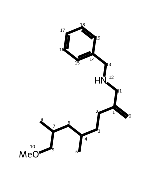 C=C(CCC(C)CC(C)COC)CNCc1ccccc1